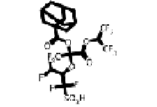 O=C(OC(OC(C(F)F)C(F)(F)S(=O)(=O)O)(C(=O)OC(C(F)(F)F)C(F)(F)F)C(F)(F)F)C12CC3CC(CC(C3)C1)C2